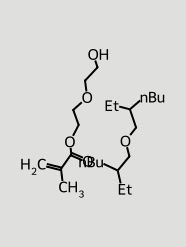 C=C(C)C(=O)OCCOCCO.CCCCC(CC)COCC(CC)CCCC